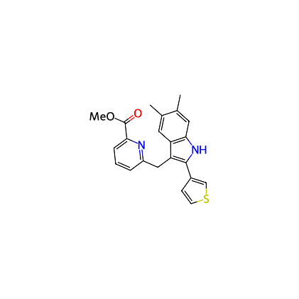 COC(=O)c1cccc(Cc2c(-c3ccsc3)[nH]c3cc(C)c(C)cc23)n1